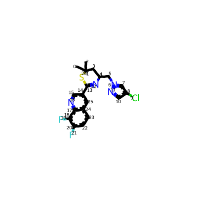 CC1(C)CC(Cn2cc(Cl)cn2)N=C(c2cnc3c(F)c(F)ccc3c2)S1